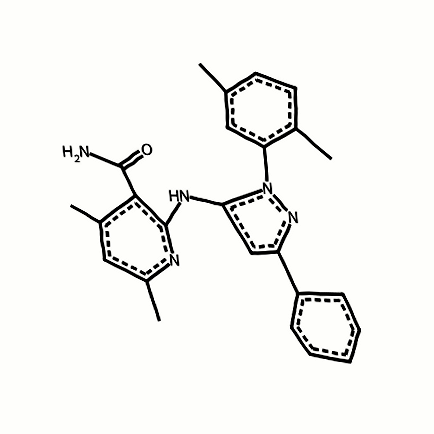 Cc1ccc(C)c(-n2nc(-c3ccccc3)cc2Nc2nc(C)cc(C)c2C(N)=O)c1